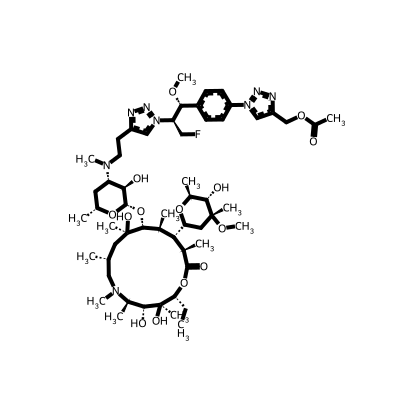 CC[C@H]1OC(=O)[C@H](C)[C@@H](C2C[C@@](C)(OC)[C@@H](O)[C@H](C)O2)[C@H](C)[C@@H](O[C@@H]2O[C@H](C)C[C@H](N(C)CCc3cn([C@H](CF)[C@H](OC)c4ccc(-n5cc(COC(C)=O)nn5)cc4)nn3)[C@H]2O)[C@](C)(O)C[C@@H](C)CN(C)[C@H](C)[C@@H](O)[C@]1(C)O